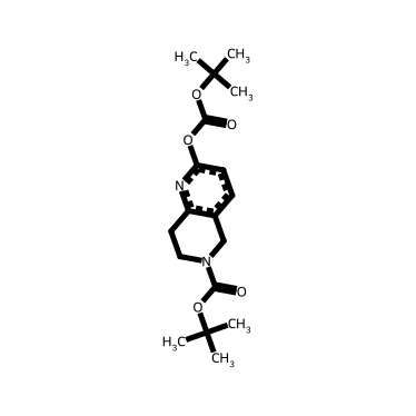 CC(C)(C)OC(=O)Oc1ccc2c(n1)CCN(C(=O)OC(C)(C)C)C2